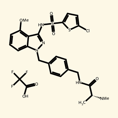 CN[C@H](C)C(=O)NCc1ccc(Cn2nc(NS(=O)(=O)c3ccc(Cl)s3)c3c(OC)cccc32)cc1.O=C(O)C(F)(F)F